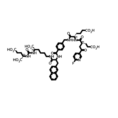 O=C(O)CCC[C@H](NC(=O)[C@H](CCC(=O)O)CC(=O)c1ccc(F)nc1)C(=O)NCc1ccc(C(=O)NC(Cc2ccc3ccccc3c2)C(=O)NCCCC[C@H](NC(=O)N[C@@H](CCC(=O)O)C(=O)O)C(=O)O)cc1